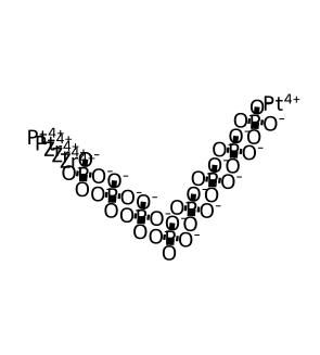 O=P([O-])([O-])[O-].O=P([O-])([O-])[O-].O=P([O-])([O-])[O-].O=P([O-])([O-])[O-].O=P([O-])([O-])[O-].O=P([O-])([O-])[O-].O=P([O-])([O-])[O-].O=P([O-])([O-])[O-].[Pt+4].[Pt+4].[Pt+4].[Zr+4].[Zr+4].[Zr+4]